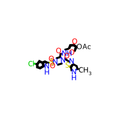 CC(=O)Oc1coc(CNC(=O)C2CN(S(=O)(=O)c3cc4cc(Cl)ccc4[nH]3)CCN2C(=O)c2nc3c(s2)CNC(C)C3)cc1=O